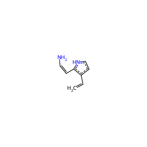 C=Cc1cc[nH]c1/C=C\N